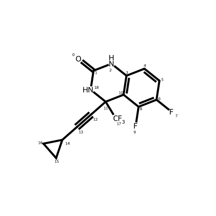 O=C1Nc2ccc(F)c(F)c2C(C#CC2CC2)(C(F)(F)F)N1